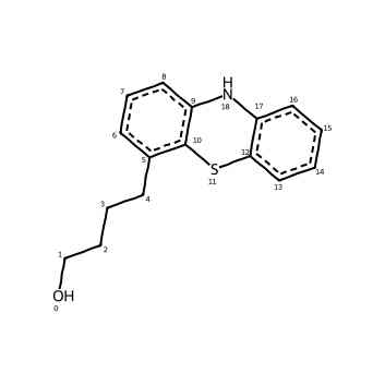 OCCCCc1cccc2c1Sc1ccccc1N2